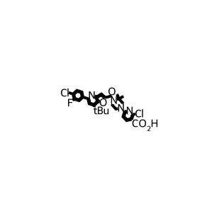 CC(C)(C)c1cc(-c2ccc(Cl)c(F)c2)nc2cc(C(=O)N3CCN(c4ccc(C(=O)O)c(Cl)n4)CC3(C)C)oc12